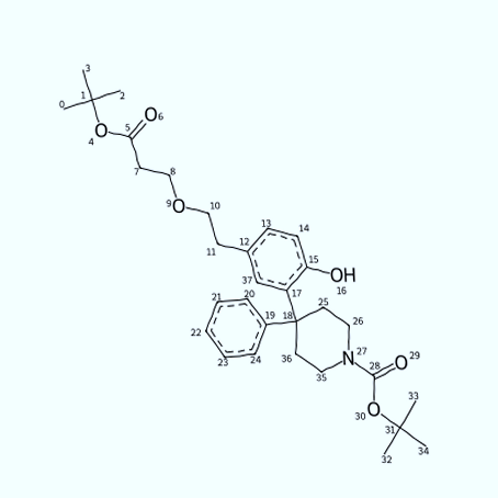 CC(C)(C)OC(=O)CCOCCc1ccc(O)c(C2(c3ccccc3)CCN(C(=O)OC(C)(C)C)CC2)c1